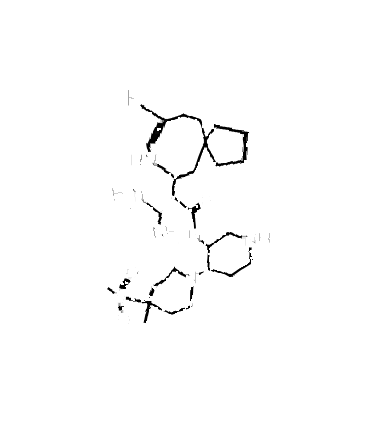 CC1(S(C)(=O)=O)CCN([C@@H]2CCNCC2NC(=O)[C@H](C(N)N)C2CC3(CCCC3)CC/C(F)=C\N2)CC1